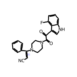 N#C/C=C(\c1ccccc1)N1CCN(C(=O)C(=O)c2c[nH]c3cccc(F)c23)CC1